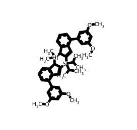 COc1cc(OC)cc(-c2cccc3c2C=C2[CH]3[Hf]([CH3])([CH3])[CH]3C(=Cc4c(-c5cc(OC)cc(OC)c5)cccc43)[Si]2(C(C)C)C(C)C)c1